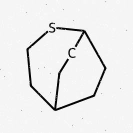 C1CC2CCC(CC2)S1